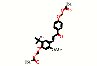 CCC(C)(C)c1cc(/C=C/C(=O)c2ccc(OCOC(=O)C(C)(C)C)cc2)c(OC)cc1OCOC(=O)C(C)(C)C